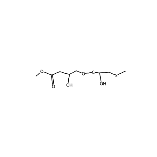 COC(=O)CC(O)COCC(O)CSC